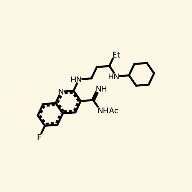 CCC(CCNc1nc2ccc(F)cc2cc1C(=N)NC(C)=O)NC1CCCCC1